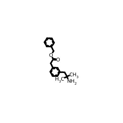 CC(C)(N)Cc1cccc(CC(=O)OCc2ccccc2)c1